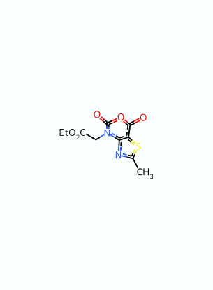 CCOC(=O)Cn1c(=O)oc(=O)c2sc(C)nc21